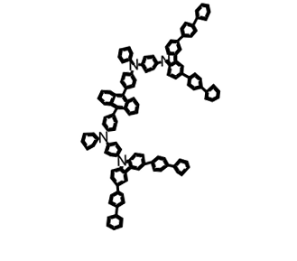 c1ccc(-c2ccc(-c3ccc4c(c3)c3cc(-c5ccc(-c6ccccc6)cc5)ccc3n4-c3ccc(N(c4ccccc4)c4ccc(-c5c6ccccc6c(-c6ccc(N(c7ccccc7)c7ccc(-n8c9ccc(-c%10ccc(-c%11ccccc%11)cc%10)cc9c9cc(-c%10ccc(-c%11ccccc%11)cc%10)ccc98)cc7)cc6)c6ccccc56)cc4)cc3)cc2)cc1